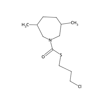 CC1CCC(C)CN(C(=O)SCCCCl)C1